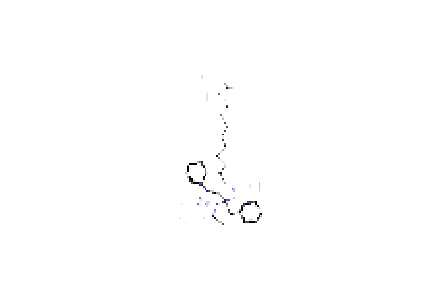 CC(C=O)NCCCCCCCCC[C@@H](Cc1ccccc1)C(Cc1ccccc1)(NC(=O)O)N(NC(=O)O)[C@@H](C)C=O